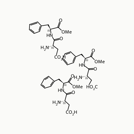 COC(=O)[C@H](Cc1ccccc1)NC(=O)[C@@H](N)CC(=O)O.COC(=O)[C@H](Cc1ccccc1)NC(=O)[C@@H](N)CC(=O)O.COC(=O)[C@H](Cc1ccccc1)NC(=O)[C@@H](N)CC(=O)O